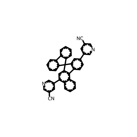 N#Cc1cncc(-c2ccc3c(c2)C2(c4ccccc4-c4ccccc42)c2cc(-c4cncc(C#N)c4)c4ccccc4c2-3)c1